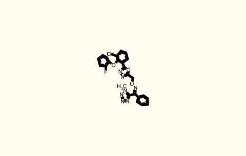 Cn1nnnc1/C(=N\OCc1nnc(-c2cccc(Cl)c2Oc2ccccc2F)o1)c1ccccc1